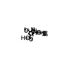 COCc1cc(C(=O)O)cc2c1ncn2COCC[Si](C)(C)C